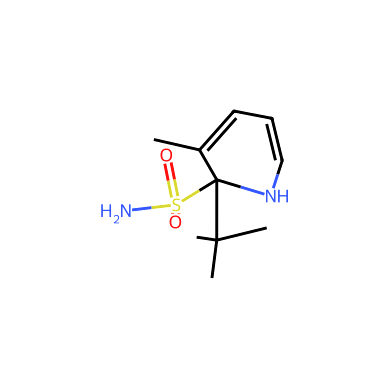 CC1=CC=CNC1(C(C)(C)C)S(N)(=O)=O